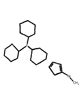 C1CCC(P(C2CCCCC2)C2CCCCC2)CC1.[CH3][Ni][C]1=CC=CC1